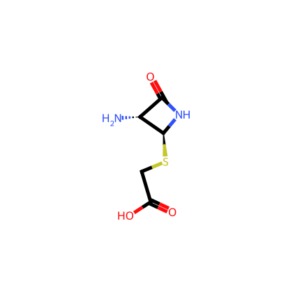 N[C@@H]1C(=O)N[C@H]1SCC(=O)O